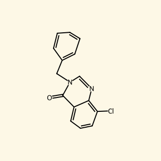 O=c1c2cccc(Cl)c2ncn1Cc1ccccc1